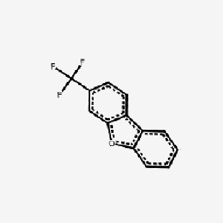 FC(F)(F)c1ccc2c(c1)oc1cc[c]cc12